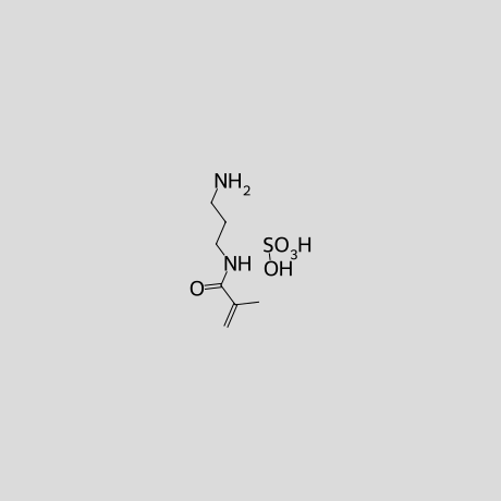 C=C(C)C(=O)NCCCN.O=S(=O)(O)O